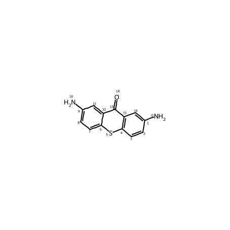 Nc1ccc2sc3ccc(N)cc3c(=O)c2c1